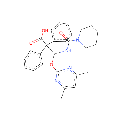 Cc1cc(C)nc(OC(NC(=O)N2CCCCC2)C(C(=O)O)(c2ccccc2)c2ccccc2)n1